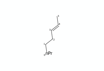 C[CH]CCCC=CC